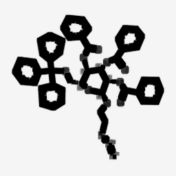 [N-]=[N+]=NCCO[C@H]1O[C@H](COC(c2ccccc2)(c2ccccc2)c2ccccc2)[C@@H](OC(=O)c2ccccc2)[C@H](OC(=O)c2ccccc2)[C@@H]1OC(=O)c1ccccc1